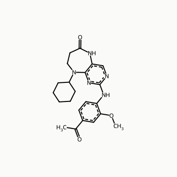 COc1cc(C(C)=O)ccc1Nc1ncc2c(n1)N(C1CCCCC1)CCC(=O)N2